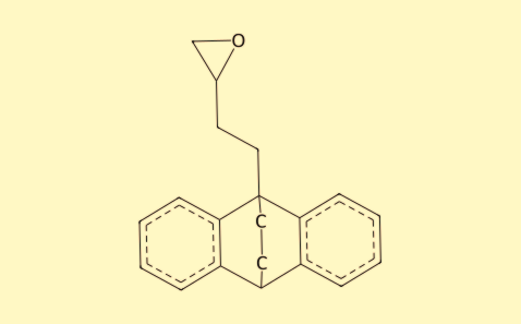 c1ccc2c(c1)C1CCC2(CCC2CO2)c2ccccc21